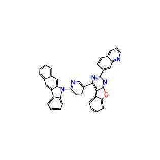 c1ccc2cc3c(cc2c1)c1ccccc1n3-c1ccc(-c2nc(-c3ccc4cccnc4c3)nc3oc4ccccc4c23)cn1